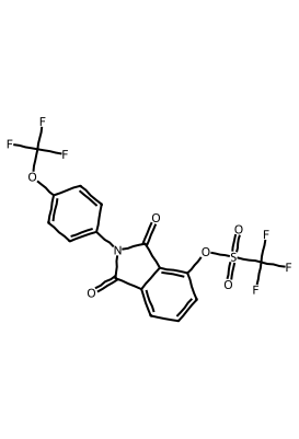 O=C1c2cccc(OS(=O)(=O)C(F)(F)F)c2C(=O)N1c1ccc(OC(F)(F)F)cc1